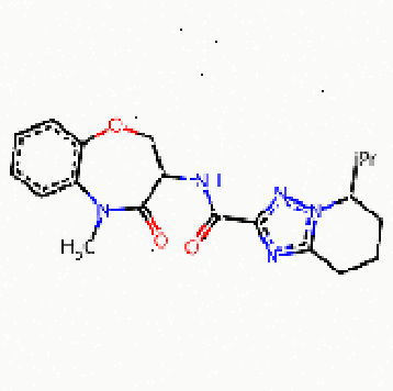 CC(C)C1CCCc2nc(C(=O)NC3COc4ccccc4N(C)C3=O)nn21